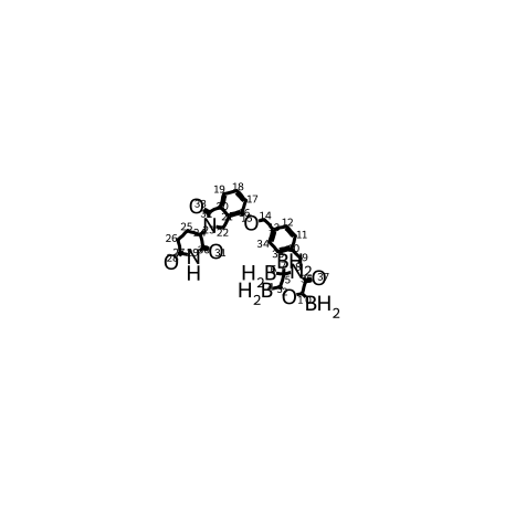 BC1OC(B)C(B)(B)N(Cc2ccc(COc3cccc4c3CN(C3CCC(=O)NC3=O)C4=O)cc2)C1=O